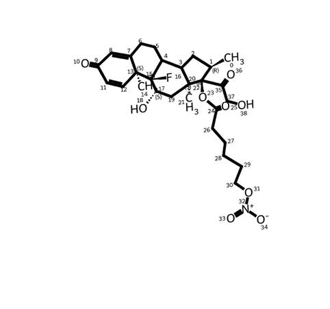 C[C@@H]1CC2C3CCC4=CC(=O)C=C[C@]4(C)[C@@]3(F)[C@@H](O)C[C@]2(C)[C@@]1(OC(=O)CCCCCO[N+](=O)[O-])C(=O)CO